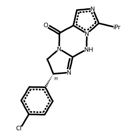 CC(C)c1ncc2n1NC1=N[C@H](c3ccc(Cl)cc3)CN1C2=O